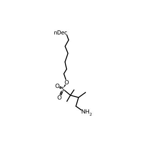 CCCCCCCCCCCCCCCCOS(=O)(=O)C(C)(C)C(C)CN